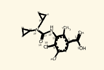 Cc1c(C(=O)O)cc(Cl)c(Cl)c1NC(=O)N(C1CC1)C1CC1